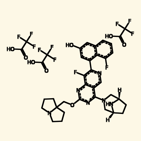 O=C(O)C(F)(F)F.O=C(O)C(F)(F)F.O=C(O)C(F)(F)F.Oc1cc(-c2ncc3c(N4C[C@H]5CC[C@@H](C4)N5)nc(OCC45CCCN4CCC5)nc3c2F)c2c(F)cccc2c1